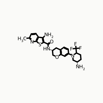 Cc1ccc2c(N)c(C(=O)N[C@H]3COc4cc(N5C[C@@H](N)CCC5C(F)(F)F)ccc4C3)sc2n1